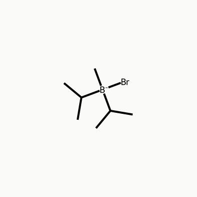 CC(C)[B-](C)(Br)C(C)C